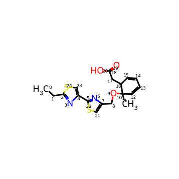 CCc1nc(-c2nc(COC3(C)C=CC=CC3CC(=O)O)cs2)cs1